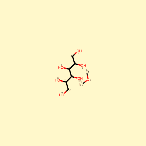 CCOCC.OCC(O)C(O)C(O)C(O)CO